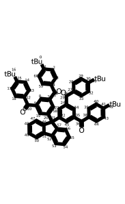 CC(C)(C)c1ccc(C(=O)c2cc(C(=O)c3ccc(C(C)(C)C)cc3)cc(C3(c4cc(C(=O)c5ccc(C(C)(C)C)cc5)cc(C(=O)c5ccc(C(C)(C)C)cc5)c4)c4ccccc4-c4ccccc43)c2)cc1